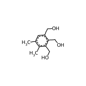 Cc1cc(CO)c(CO)c(CO)c1C